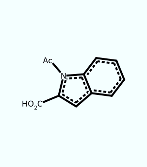 CC(=O)n1c(C(=O)O)cc2ccccc21